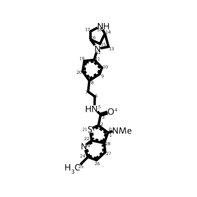 CNc1c(C(=O)NCCc2ccc(N3CC4CC3CN4)cc2)sc2nc(C)ccc12